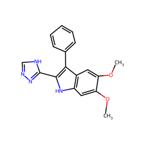 COc1cc2[nH]c(-c3nnc[nH]3)c(-c3ccccc3)c2cc1OC